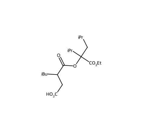 CCOC(=O)C(CC(C)C)(OC(=O)C(CC(=O)O)C(C)CC)C(C)C